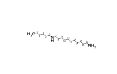 CCCCCCNCCCCCCCCCCCN